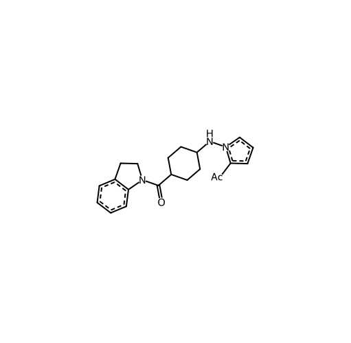 CC(=O)c1cccn1NC1CCC(C(=O)N2CCc3ccccc32)CC1